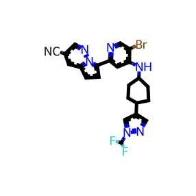 N#Cc1cnn2c(-c3cc(NC4CCC(c5cnn(C(F)F)c5)CC4)c(Br)cn3)ccc2c1